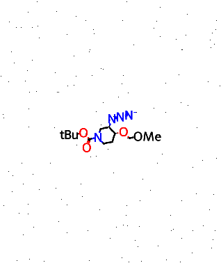 COCO[C@@H]1CCN(C(=O)OC(C)(C)C)C[C@H]1N=[N+]=[N-]